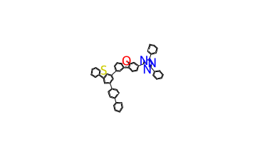 c1ccc(-c2ccc(-c3cc(-c4ccc5oc6cc(-c7nc(-c8ccccc8)nc(-c8ccccc8)n7)ccc6c5c4)c4sc5ccccc5c4c3)cc2)cc1